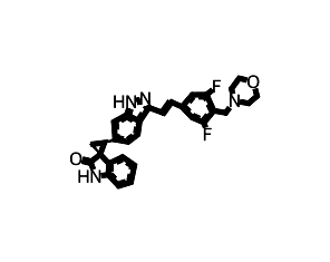 O=C1Nc2ccccc2[C@]12C[C@H]2c1ccc2c(C=Cc3cc(F)c(CN4CCOCC4)c(F)c3)n[nH]c2c1